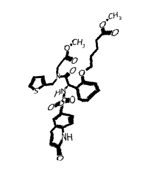 COC(=O)CCCCOc1ccccc1[C@@H](NS(=O)(=O)c1ccc2[nH]c(=O)ccc2c1)C(=O)N(CC(=O)OC)Cc1cccs1